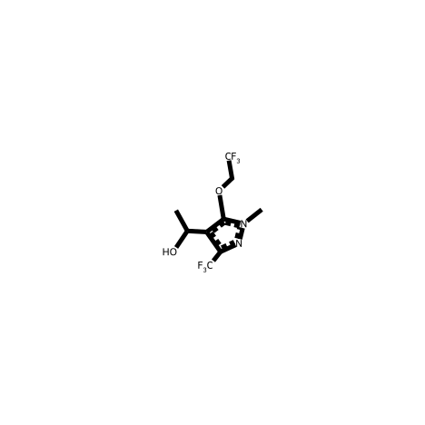 CC(O)c1c(C(F)(F)F)nn(C)c1OCC(F)(F)F